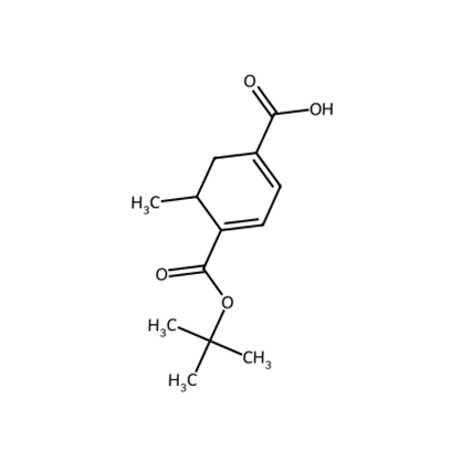 CC1CC(C(=O)O)=CC=C1C(=O)OC(C)(C)C